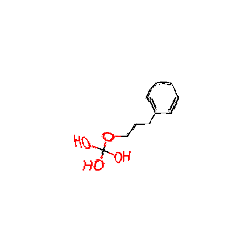 OC(O)(O)OCCCc1ccccc1